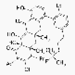 CCc1ccc(CCCC(C)(C)F)cc1-c1ccc(O)c2c1C[C@]1(C)C[C@]3(C)C(C(C)C)C(O)=C(C(C)=O)C(=O)[C@]3(O)C(O)=C1C2=O